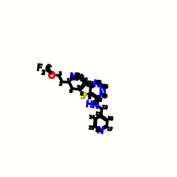 N[C@@H](CCOC(F)(F)F)Cc1sc2c(NCc3ccncc3)nnnc2c1Br